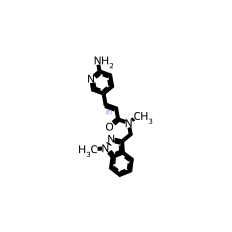 CN(Cc1nn(C)c2ccccc12)C(=O)/C=C/c1ccc(N)nc1